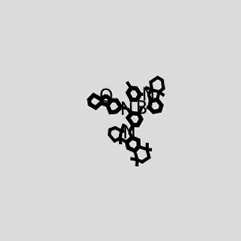 Cc1cc2c3c(c1)N1c4c(cccc4C4(C)CCCCC14C)B3c1ccc(N3c4cc5c(cc4C4(C)CCCCC34C)C(C)(C)CCC5(C)C)cc1N2c1ccc2c(c1)oc1ccccc12